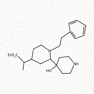 CCOC(=O)C(C)C1CCN(CCc2ccccc2)C(C2(O)CCNCC2)C1